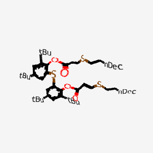 CCCCCCCCCCCCSCCC(=O)Oc1c(Sc2cc(C(C)(C)C)cc(C(C)(C)C)c2OC(=O)CCSCCCCCCCCCCCC)cc(C(C)(C)C)cc1C(C)(C)C